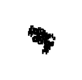 COc1cc(C(=O)NC[C@@](O)(c2ccccc2)c2cc3c(c(-c4cc(C(F)(F)F)c(F)cc4F)n2)OC[C@]3(C)C(N)=O)cc2cn(C(F)F)nc12